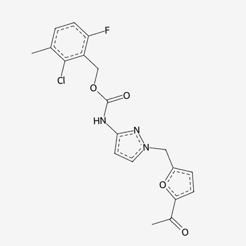 CC(=O)c1ccc(Cn2ccc(NC(=O)OCc3c(F)ccc(C)c3Cl)n2)o1